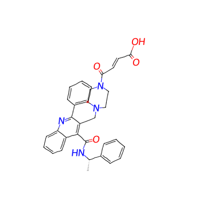 C[C@H](NC(=O)c1c(CN2CCN(C(=O)/C=C/C(=O)O)CC2)c(-c2ccccc2)nc2ccccc12)c1ccccc1